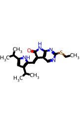 CCSc1ncc2c(n1)NC(=O)C2=Cc1[nH]c(C(C)C)cc1C(C)C